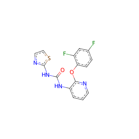 O=C(Nc1nccs1)Nc1cccnc1Oc1ccc(F)cc1F